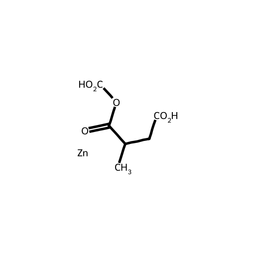 CC(CC(=O)O)C(=O)OC(=O)O.[Zn]